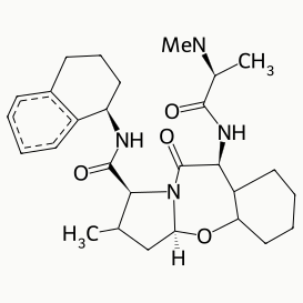 CN[C@@H](C)C(=O)N[C@@H]1C(=O)N2[C@H](CC(C)[C@H]2C(=O)N[C@@H]2CCCc3ccccc32)OC2CCCCC21